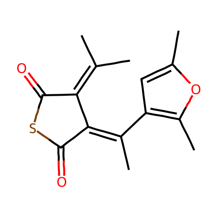 CC(C)=C1C(=O)SC(=O)/C1=C(\C)c1cc(C)oc1C